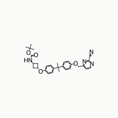 CC(C)(C)OC(=O)NC1CC(Oc2ccc(C(C)(C)c3ccc(OCc4ccnc(C#N)n4)cc3)cc2)C1